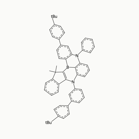 CC(C)(C)c1ccc(-c2cccc(N3C4=C(B5c6ccc(-c7ccc(C(C)(C)C)cc7)cc6N(c6ccccc6)c6cccc3c65)C(C)(C)c3ccccc34)c2)cc1